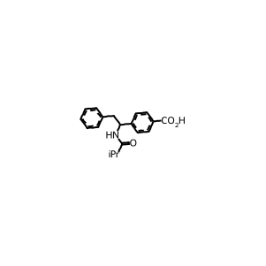 CC(C)C(=O)NC(Cc1ccccc1)c1ccc(C(=O)O)cc1